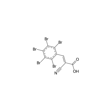 N#C/C(=C\c1c(Br)c(Br)c(Br)c(Br)c1Br)C(=O)O